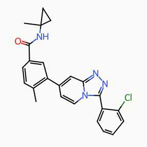 Cc1ccc(C(=O)NC2(C)CC2)cc1-c1ccn2c(-c3ccccc3Cl)nnc2c1